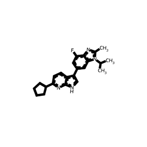 Cc1nc2c(F)cc(-c3c[nH]c4nc(C5CCCC5)ccc34)cc2n1C(C)C